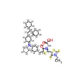 CCN1C(=S)S/C(=c2/s/c(=C/c3ccc4c(c3)C3CCCC3N4c3ccc(C=C(c4ccccc4)c4ccccc4)cc3)c(=O)n2CC(=O)O)C1=S